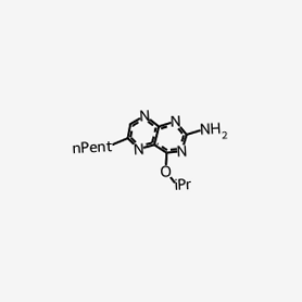 CCCCCc1cnc2nc(N)nc(OC(C)C)c2n1